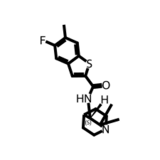 Cc1cc2sc(C(=O)N[C@H]3C4CCN(CC4)C3(C)C)cc2cc1F